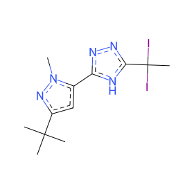 Cn1nc(C(C)(C)C)cc1-c1nnc(C(C)(I)I)[nH]1